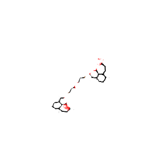 C[C@H]1[C@H](SCCC(=O)OCCCS[C@@H]2O[C@]34C[C@]35[C@@H](CC[C@@H](C)[C@@H]5CC[C@@](C)(OO)O4)[C@H]2C)O[C@@H]2O[C@@]3(C)CC[C@H]4[C@H](C)CC[C@@H]1[C@@]24OO3